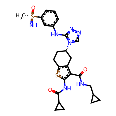 C[S@](=N)(=O)c1cccc(Nc2nncn2[C@H]2CCc3sc(NC(=O)C4CC4)c(C(=O)NCC4CC4)c3C2)c1